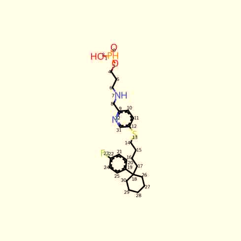 O=[PH](O)OCCCNCc1ccc(SCCCCC2(c3ccc(F)cc3)CCCCC2)cn1